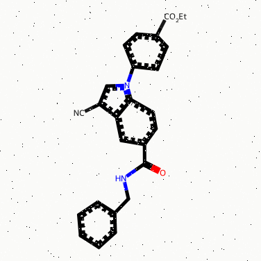 CCOC(=O)c1ccc(-n2cc(C#N)c3cc(C(=O)NCc4ccccc4)ccc32)cc1